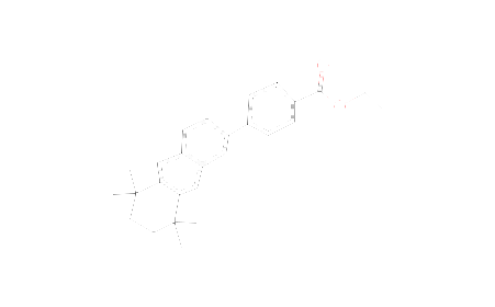 CCOC(=O)c1ccc(-c2ccc3cc4c(cc3c2)C(C)(C)CCC4(C)C)cc1